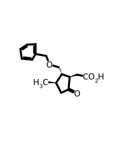 C[C@@H]1CC(=O)[C@H](CC(=O)O)[C@H]1COCc1ccccc1